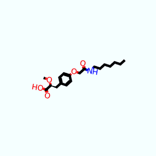 CCCCCCCNC(=O)COc1ccc(C[C@H](OC)C(=O)O)cc1